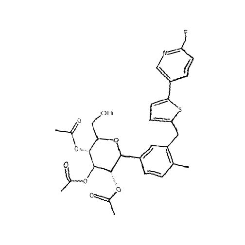 CC(=O)OC1[C@H](OC(C)=O)C(CO)OC(c2ccc(C)c(Cc3ccc(-c4ccc(F)nc4)s3)c2)[C@@H]1OC(C)=O